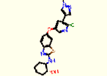 Cn1cc(-c2cc(Oc3ccc4nc(NC5CCCC[C@H]5O)sc4c3)cnc2Cl)cn1